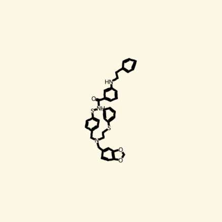 O=C(NSc1ccc(CN(CCSc2ccccc2)Cc2ccc3c(c2)OCO3)cc1)c1cccc(NCCc2ccccc2)c1